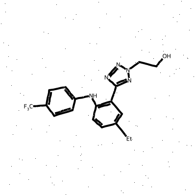 CCc1ccc(Nc2ccc(C(F)(F)F)cc2)c(-c2nnn(CCO)n2)c1